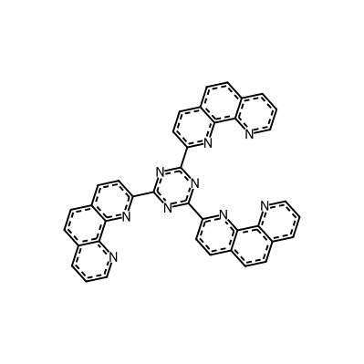 c1cnc2c(c1)ccc1ccc(-c3nc(-c4ccc5ccc6cccnc6c5n4)nc(-c4ccc5ccc6cccnc6c5n4)n3)nc12